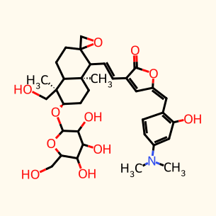 CN(C)c1ccc(/C=C2C=C(/C=C/C3C4(CCC5[C@]3(C)CC[C@@H](OC3OC(CO)C(O)C(O)C3O)[C@@]5(C)CO)CO4)C(=O)O\2)c(O)c1